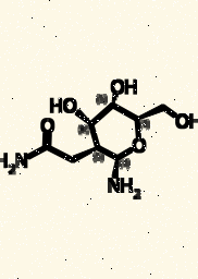 NC(=O)C[C@H]1[C@@H](O)[C@H](O)[C@@H](CO)O[C@H]1N